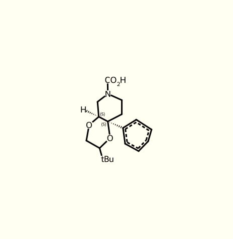 CC(C)(C)C1CO[C@H]2CN(C(=O)O)CC[C@@]2(c2ccccc2)O1